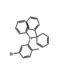 Cc1ccc(Br)cc1N(c1ccccc1)C1(c2ccccc2)C=CC=CC1